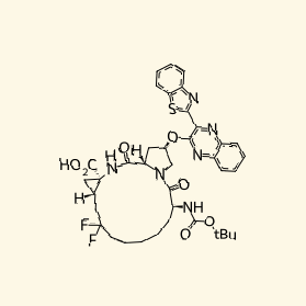 CC(C)(C)OC(=O)N[C@H]1CCCCCC(F)(F)C[C@@H]2C[C@@]2(C(=O)O)NC(=O)[C@@H]2C[C@@H](Oc3nc4ccccc4nc3-c3nc4ccccc4s3)CN2C1=O